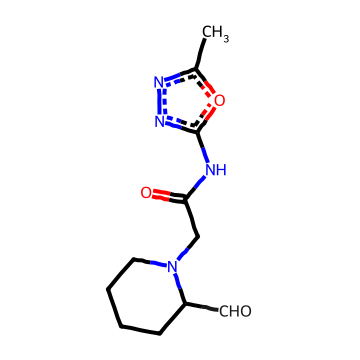 Cc1nnc(NC(=O)CN2CCCCC2C=O)o1